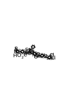 CC[C@@H](c1ccccc1)N1Cc2cc3c(cc2C[C@H]1C(=O)N[C@@H](Cc1ccc(-c2ccnc(F)c2)cc1)C(=O)O)OC[C@H](c1ccc(OCc2ccc(Cl)c(Cl)c2)cc1)O3